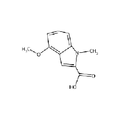 COc1cccc2c1cc(C(=O)O)n2C